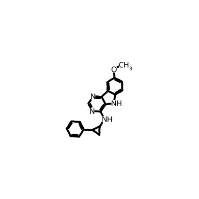 COc1ccc2[nH]c3c(NC4CC4c4ccccc4)ncnc3c2c1